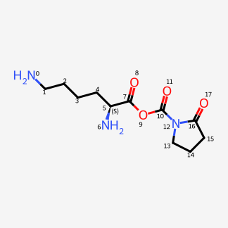 NCCCC[C@H](N)C(=O)OC(=O)N1CCCC1=O